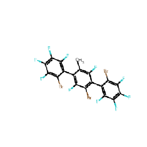 Cc1c(F)c(-c2c(F)c(F)c(F)c(F)c2Br)c(Br)c(F)c1-c1c(F)c(F)c(F)c(F)c1Br